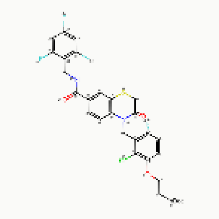 CCCCCCCCCCCCOc1ccc(F)c(CN2C(=O)CSc3cc(C(=O)NCc4c(F)cc(F)cc4F)ccc32)c1Cl